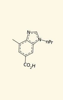 CCCn1cnc2c(C)cc(C(=O)O)cc21